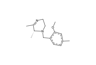 COc1cc(C)ccc1CN1CCN=C(C)[C@H]1C